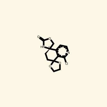 O=C1N[C@]2(CCC3(OCCO3)c3c2ccnc3Cl)CO1